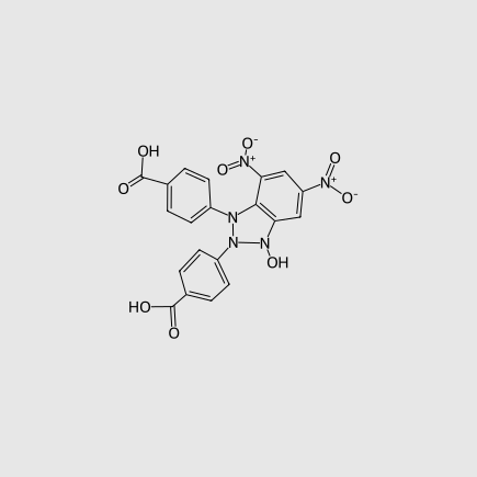 O=C(O)c1ccc(N2c3c(cc([N+](=O)[O-])cc3[N+](=O)[O-])N(O)N2c2ccc(C(=O)O)cc2)cc1